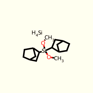 CO[Si](OC)(C1CC2CCC1C2)C1CC2CCC1C2.[SiH4]